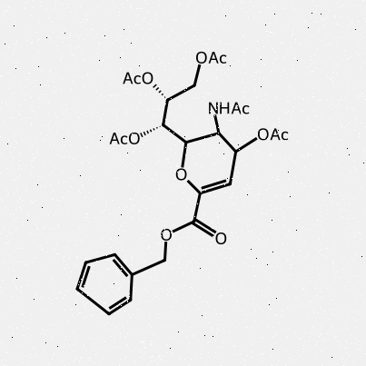 CC(=O)NC1C(OC(C)=O)C=C(C(=O)OCc2ccccc2)OC1[C@H](OC(C)=O)[C@@H](COC(C)=O)OC(C)=O